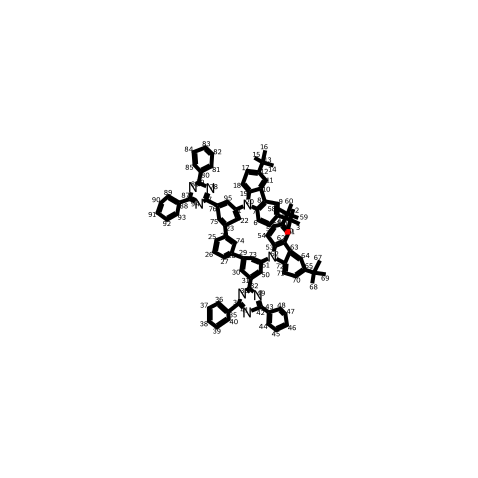 CC(C)(C)c1ccc2c(c1)c1cc(C(C)(C)C)ccc1n2-c1cc(-c2cccc(-c3cc(-c4nc(-c5ccccc5)nc(-c5ccccc5)n4)cc(-n4c5ccc(C(C)(C)C)cc5c5cc(C(C)(C)C)ccc54)c3)c2)cc(-c2nc(-c3ccccc3)nc(-c3ccccc3)n2)c1